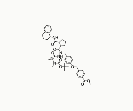 COC(=O)c1ccc(COc2ccc(CN(NC(=O)[C@H](C)N(C)C(=O)OC(C)(C)C)C(=O)C3CCCC3C(=O)NC3CCCc4ccccc43)cc2)cc1